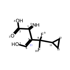 N=C(C(=O)O)/C(=C\O)C(F)(F)C1CC1